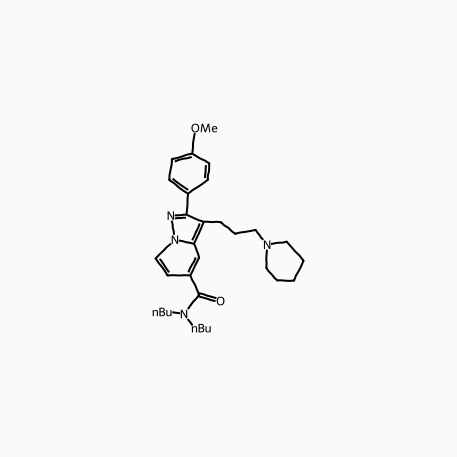 CCCCN(CCCC)C(=O)c1ccn2nc(-c3ccc(OC)cc3)c(CCCN3CCCCC3)c2c1